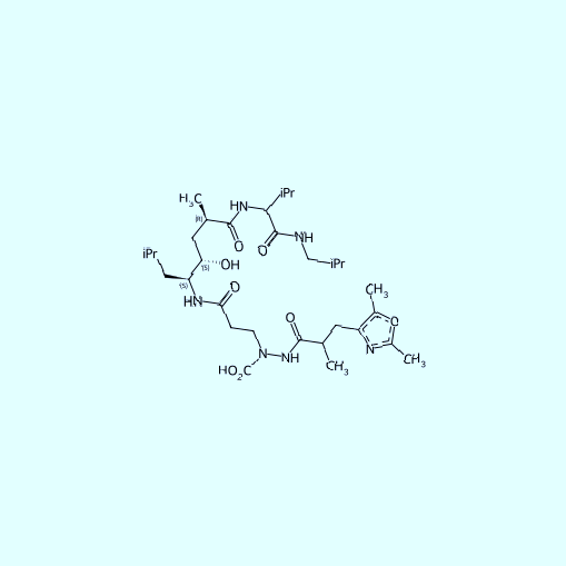 Cc1nc(CC(C)C(=O)NN(CCC(=O)N[C@@H](CC(C)C)[C@@H](O)C[C@@H](C)C(=O)NC(C(=O)NCC(C)C)C(C)C)C(=O)O)c(C)o1